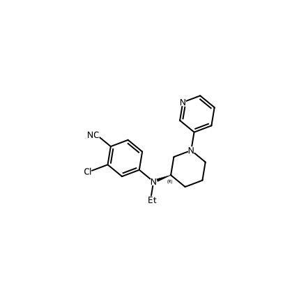 CCN(c1ccc(C#N)c(Cl)c1)[C@@H]1CCCN(c2cccnc2)C1